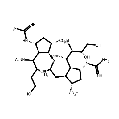 BC(C[C@H]1[C@@H]([C@H](NC(C)=O)[C@@H](O)[C@@H](O)CO)[C@H](NC(=N)N)C[C@@H]1C(=O)O)S[C@H]1[C@@H]([C@H](NC(C)=O)[C@@H](O)CCO)[C@H](NC(=N)N)C[C@@H]1C(=O)O